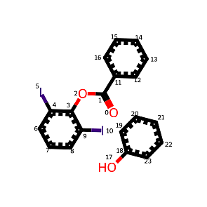 O=C(Oc1c(I)cccc1I)c1ccccc1.Oc1ccccc1